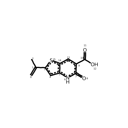 C=C(C)c1cc2[nH]c(=O)c(C(=O)O)cc2s1